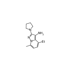 CCc1ccc(C)n2nc(N3CCCC3)c(N)c12